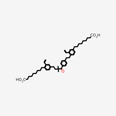 C=Cc1cc(CCC(C)(C)C(=O)c2ccc(CCc3ccc(CCCCCCCCC(=O)O)cc3C=C)cc2)ccc1CCCCCCCCC(=O)O